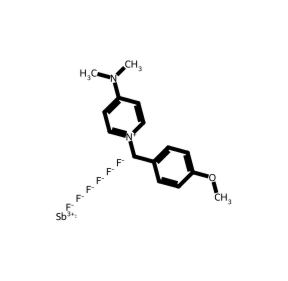 COc1ccc(C[n+]2ccc(N(C)C)cc2)cc1.[F-].[F-].[F-].[F-].[F-].[F-].[Sb+3]